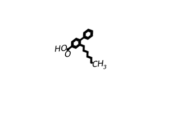 CCCCCCCc1cc(C(=O)O)ccc1-c1ccccc1